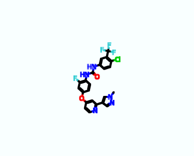 Cn1cc(-c2cc(Oc3ccc(NC(=O)Nc4ccc(Cl)c(C(F)(F)F)c4)c(F)c3)ccn2)cn1